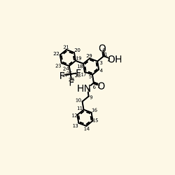 O=C(O)c1cc(C(=O)NCCc2ccccc2)cc(-c2ccccc2C(F)(F)F)c1